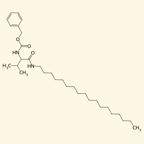 CCCCCCCCCCCCCCCCCCNC(=O)C(NC(=O)OCc1ccccc1)C(C)C